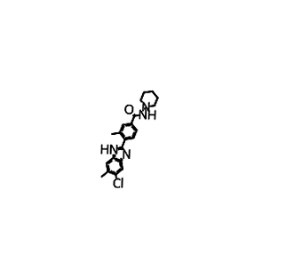 Cc1cc2[nH]c(-c3ccc(C(=O)NN4CCCCC4)cc3C)nc2cc1Cl